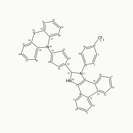 FC(F)(F)c1ccc(N2c3c(c4ccccc4c4ccccc34)NC2c2ccc(N3c4ccccc4Sc4ccccc43)cc2)cc1